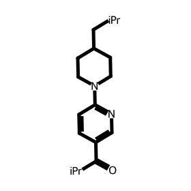 CC(C)CC1CCN(c2ccc(C(=O)C(C)C)cn2)CC1